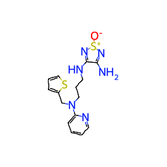 Nc1n[s+]([O-])nc1NCCCN(Cc1cccs1)c1ccccn1